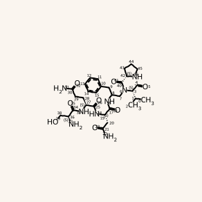 CC(C)[C@@H]([C]=O)N(CC(Cc1ccccc1)NC(=O)[C@H](CC(N)=O)NC(=O)[C@H](CCC(N)=O)NC(=O)[C@@H](N)CO)C(=O)[C@@H]1CCCN1